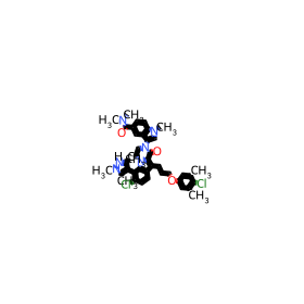 Cc1cc(OCCCc2c3n(c4c(-c5c(C)nn(C)c5C)c(Cl)ccc24)[C@H](C)CN(c2cn(C)c4ccc(C(=O)N(C)C)cc24)C3=O)cc(C)c1Cl